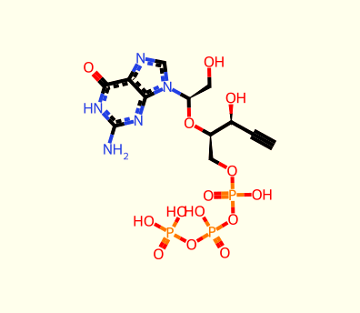 C#C[C@H](O)[C@@H](COP(=O)(O)OP(=O)(O)OP(=O)(O)O)O[C@H](CO)n1cnc2c(=O)[nH]c(N)nc21